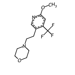 COc1cc(C(F)(F)F)c(CCN2CCOCC2)cn1